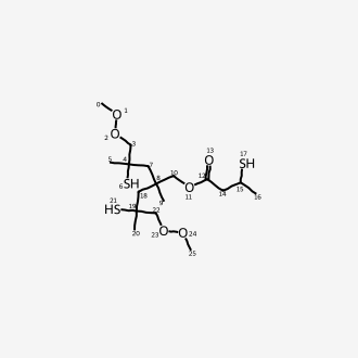 COOCC(C)(S)CC(C)(COC(=O)CC(C)S)CC(C)(S)COOC